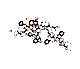 CCCC[C@@H](C(=O)N(C)CC(N)=O)N(C)C(=O)[C@H](Cc1ccccc1)N(C)C(=O)[C@H](Cc1ccccc1)NC(=O)CSC[C@H](NC(=O)[C@H](CC(C)C)NC(=O)[C@H](Cc1ccc(O)cc1)NC(=O)[C@H](Cc1c[nH]c2ccccc12)NC(=O)[C@@]1(C)CCCN1C(=O)[C@H](Cc1ccc(O)cc1)NC(=O)[C@H](Cc1ccccc1)N(C)C(=O)[C@@H](NC(=O)[C@@H](C)CC(=O)O)C(C)C)C(=O)NCC(N)=O